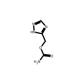 NC(=O)OCc1n[c]n[nH]1